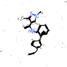 C=Cc1ccc(-c2ccccc2NC(=C)c2cn(C)nc2C(F)(F)F)cc1